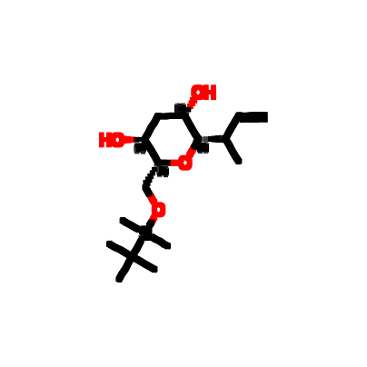 C=CC(C)[C@@H]1O[C@H](CO[Si](C)(C)C(C)(C)C)[C@H](O)C[C@@H]1O